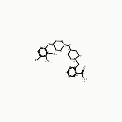 Cc1c(Cl)ccc(OC2CCN(CC3CCN(Cc4ccccc4C(=O)O)CC3)CC2)c1Cl